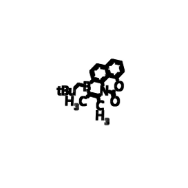 CC1=C(C)N2C(=O)Oc3cccc4ccc(c2c34)B1CC(C)(C)C